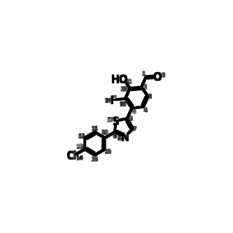 O=Cc1ccc(-c2cnc(-c3ccc(Cl)cc3)s2)c(F)c1O